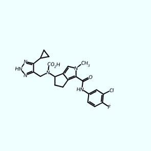 Cn1cc2c(c1C(=O)Nc1ccc(F)c(Cl)c1)CCC2N(Cc1n[nH]nc1C1CC1)C(=O)O